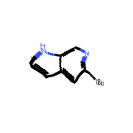 CC(C)(C)c1cc2cc[nH]c2cn1